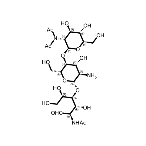 CC(=O)N[C@@H](C=O)[C@@H](O)[C@H](O[C@@H]1O[C@H](CO)[C@@H](O[C@@H]2O[C@H](CO)[C@@H](O)[C@H](O)[C@H]2N(C(C)=O)C(C)=O)[C@H](O)[C@H]1N)[C@H](O)CO